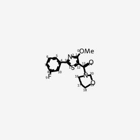 COc1nc(-c2cccc(F)c2)sc1C(=O)N1CCCOC1